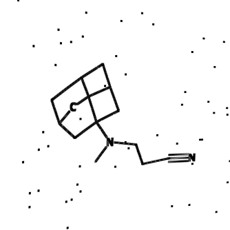 CN(CCC#N)C12CC3CC4CC(C1)C42C3